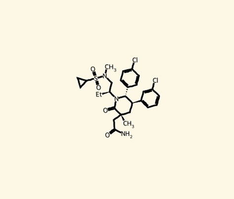 CC[C@@H](CN(C)S(=O)(=O)C1CC1)N1C(=O)[C@@](C)(CC(N)=O)C[C@H](c2cccc(Cl)c2)[C@H]1c1ccc(Cl)cc1